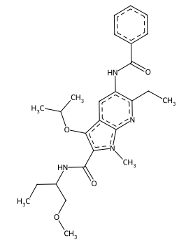 CCc1nc2c(cc1NC(=O)c1ccccc1)c(OC(C)C)c(C(=O)NC(CC)COC)n2C